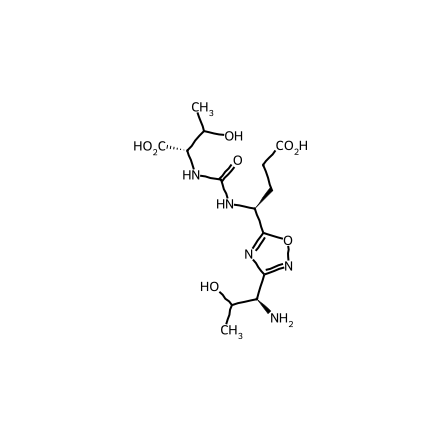 CC(O)[C@H](NC(=O)N[C@@H](CCC(=O)O)c1nc([C@@H](N)C(C)O)no1)C(=O)O